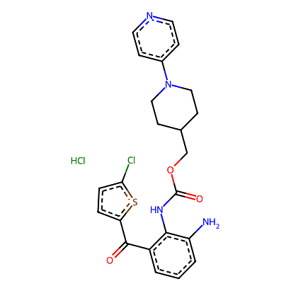 Cl.Nc1cccc(C(=O)c2ccc(Cl)s2)c1NC(=O)OCC1CCN(c2ccncc2)CC1